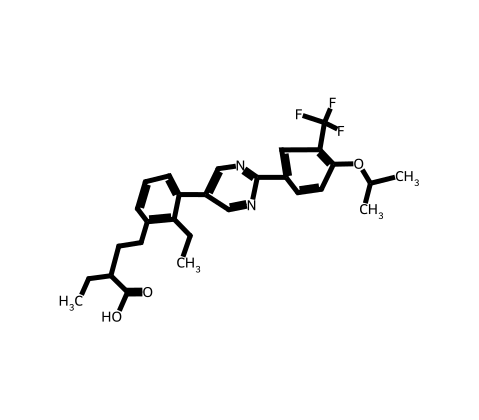 CCc1c(CCC(CC)C(=O)O)cccc1-c1cnc(-c2ccc(OC(C)C)c(C(F)(F)F)c2)nc1